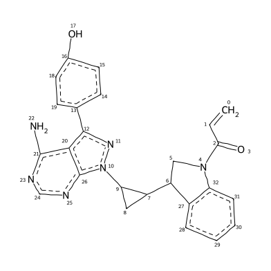 C=CC(=O)N1CC(C2CC2n2nc(-c3ccc(O)cc3)c3c(N)ncnc32)c2ccccc21